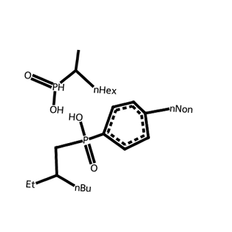 CCCCCCC(C)[PH](=O)O.CCCCCCCCCc1ccc(P(=O)(O)CC(CC)CCCC)cc1